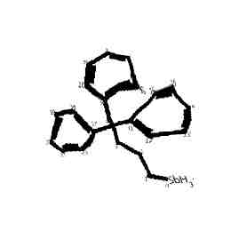 [SbH3][CH2]CCC(c1ccccc1)(c1ccccc1)c1ccccc1